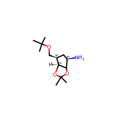 CC(C)(C)OC[C@H]1C[C@@H](N)C2OC(C)(C)O[C@H]21